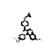 COc1ccc2c(N3CCC(C)(C#N)CC3)c(C(=O)N3CCN(SC4CC4)CC3)cnc2c1